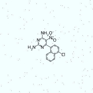 Nc1nc(N)c([N+](=O)[O-])c(-c2ccc(Cl)c3ccccc23)n1